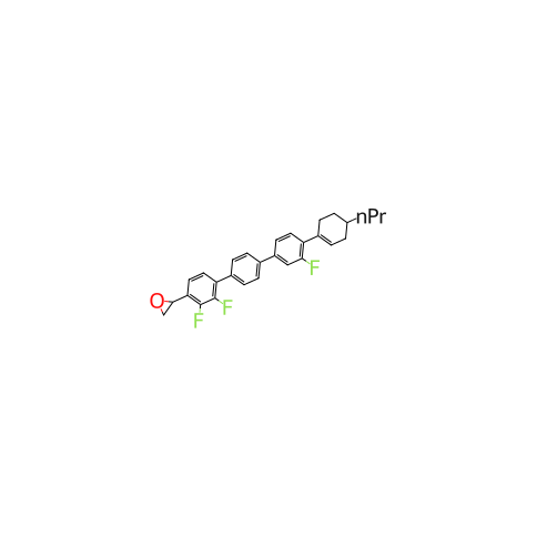 CCCC1CC=C(c2ccc(-c3ccc(-c4ccc(C5CO5)c(F)c4F)cc3)cc2F)CC1